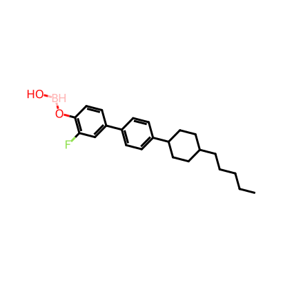 CCCCCC1CCC(c2ccc(-c3ccc(OBO)c(F)c3)cc2)CC1